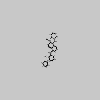 Cc1c(Nc2cccc3c(CN4CCCCC4C)ccnc23)cccc1-c1ccccc1